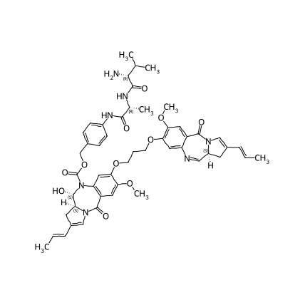 CC=CC1=CN2C(=O)c3cc(OC)c(OCCCOc4cc5c(cc4OC)C(=O)N4C=C(C=CC)C[C@H]4[C@H](O)N5C(=O)OCc4ccc(NC(=O)[C@@H](C)NC(=O)[C@H](N)C(C)C)cc4)cc3N=C[C@@H]2C1